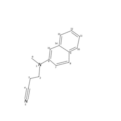 CN(CCC#N)c1ccc2ccccc2c1